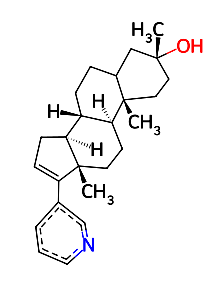 C[C@@]1(O)CC[C@@]2(C)C(CC[C@@H]3[C@@H]2CC[C@]2(C)C(c4cccnc4)=CC[C@@H]32)C1